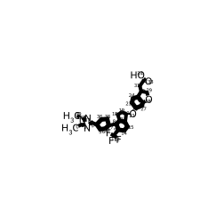 Cc1nc(-c2ccc(-c3c(C(F)(F)F)ccc4c3CC[C@H]4Oc3ccc4c(c3)OCC4CC(=O)O)cc2)nn1C